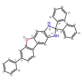 c1ccc(-c2ccc3c(c2)oc2cc4c(cc23)NC(c2ccccc2)(c2ccccc2)N4)cc1